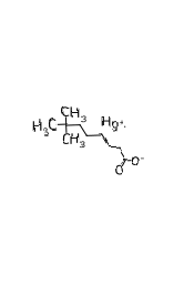 CC(C)(C)CCCCCC(=O)[O-].[Hg+]